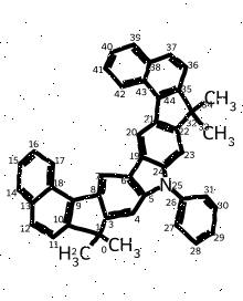 CC1(C)c2cc3c(cc2-c2c1ccc1ccccc21)c1cc2c(cc1n3-c1ccccc1)C(C)(C)c1ccc3ccccc3c1-2